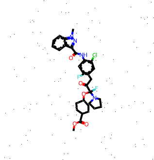 COC(=O)C1CCC(OC(F)(C(=O)Cc2cc(Cl)c(NC(=O)c3nn(C)c4ccccc34)cc2F)N2CCCC2)CC1